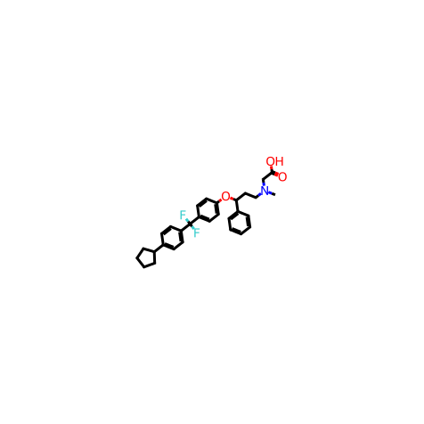 CN(CCC(Oc1ccc(C(F)(F)c2ccc(C3CCCC3)cc2)cc1)c1ccccc1)CC(=O)O